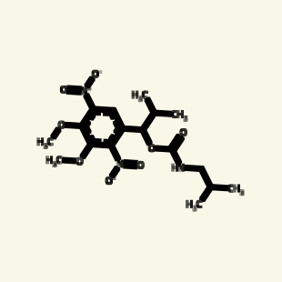 COc1c([N+](=O)[O-])cc(C(OC(=O)NCC(C)C)C(C)C)c([N+](=O)[O-])c1OC